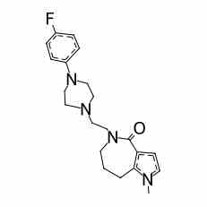 Cn1ccc2c1CCCN(CCN1CCN(c3ccc(F)cc3)CC1)C2=O